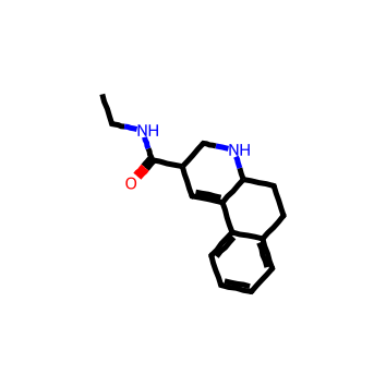 CCNC(=O)C1C=C2c3ccccc3CCC2NC1